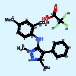 COc1ccc(Nc2c(-c3ccccc3)c(C(C)(C)C)nn2C)c(C(=O)O)c1.O=C(O)C(F)(F)F